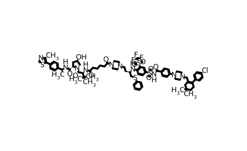 Cc1ncsc1-c1ccc([C@H](C)NC(=O)[C@@H]2C[C@@H](O)CN2C(=O)[C@@H](NC(=O)CCCCC(=O)N2CCN(CC[C@H](CSc3ccccc3)Nc3ccc(S(=O)(=O)NC(=O)c4ccc(N5CCN(CC6=C(c7ccc(Cl)cc7)CCC(C)(C)C6)CC5)cc4)cc3S(=O)(=O)C(F)(F)F)CC2)C(C)(C)C)cc1